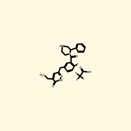 CCc1cc(Cc2ccc(F)c(C(=O)N3CCNCC3c3ccccc3)c2)n[nH]c1=O.O=C(O)C(F)(F)F